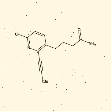 CC(C)(C)C#Cc1nc(Cl)ccc1CCCC(N)=O